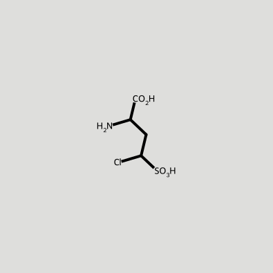 NC(CC(Cl)S(=O)(=O)O)C(=O)O